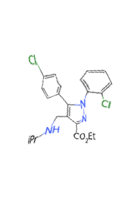 CCOC(=O)c1nn(-c2ccccc2Cl)c(-c2ccc(Cl)cc2)c1CNC(C)C